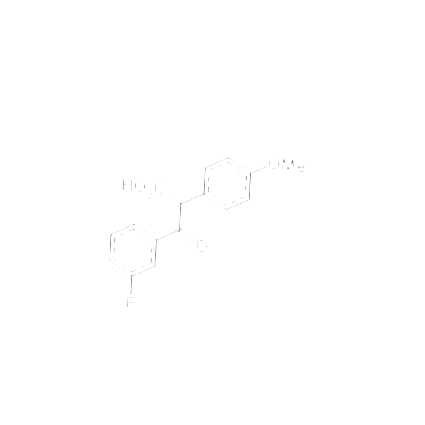 COc1ccc(C(C(=O)O)C(=O)c2cccc(F)c2)cc1